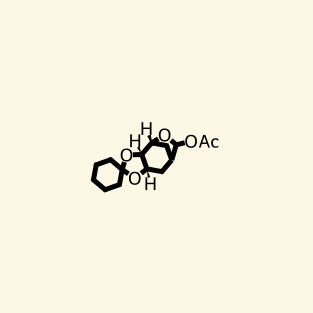 CC(=O)OC1O[C@@H]2CC1C[C@H]1OC3(CCCCC3)O[C@@H]21